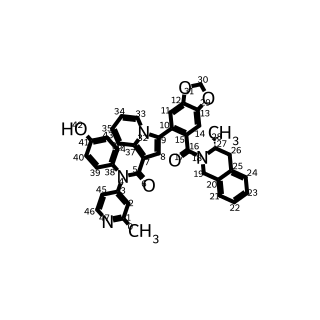 Cc1cc(N(C(=O)c2cc(-c3cc4c(cc3C(=O)N3Cc5ccccc5C[C@H]3C)OCO4)n3ccccc23)c2ccc(O)cc2)ccn1